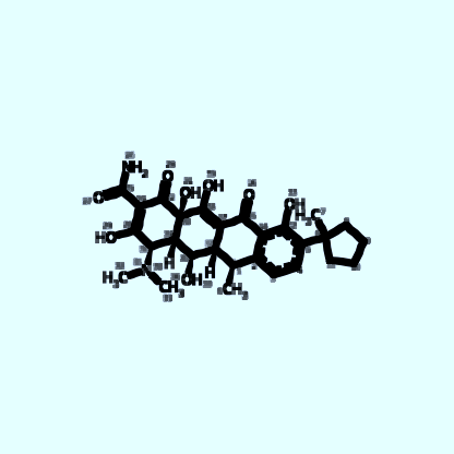 C[C@@H]1c2ccc(C3(C)CCCC3)c(O)c2C(=O)C2=C(O)[C@@]3(O)C(=O)C(C(N)=O)=C(O)[C@H](N(C)C)[C@H]3[C@H](O)[C@H]21